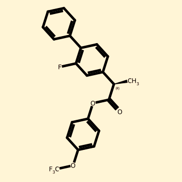 C[C@@H](C(=O)Oc1ccc(OC(F)(F)F)cc1)c1ccc(-c2ccccc2)c(F)c1